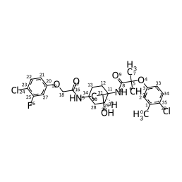 Cc1cc(OC(C)(C)C(=O)NC23CCC(NC(=O)COc4ccc(Cl)c(F)c4)(CC2)C[C@@H]3O)ccc1Cl